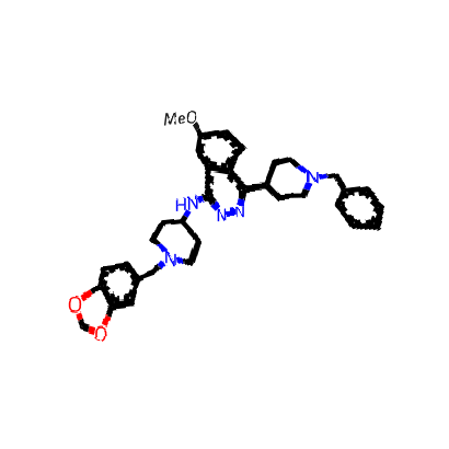 COc1ccc2c(C3CCN(Cc4ccccc4)CC3)nnc(NC3CCN(Cc4ccc5c(c4)OCO5)CC3)c2c1